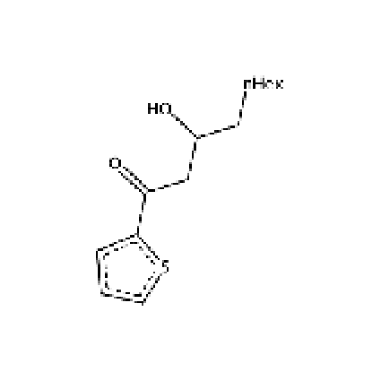 CCCCCCCC(O)CC(=O)c1cccs1